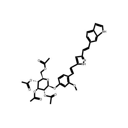 COc1cc(O[C@@H]2O[C@H](COC(C)=O)[C@@H](OC(C)=O)[C@H](OC(C)=O)[C@H]2OC(C)=O)ccc1/C=C/c1cc(/C=C/c2ccc3cc[nH]c3c2)n[nH]1